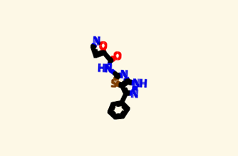 O=C(Nc1nc2[nH]nc(-c3ccccc3)c2s1)c1ccno1